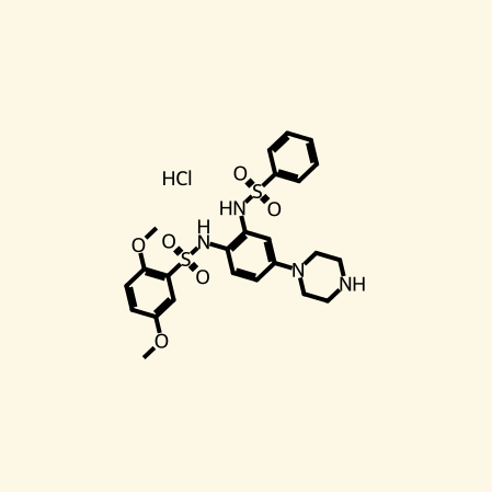 COc1ccc(OC)c(S(=O)(=O)Nc2ccc(N3CCNCC3)cc2NS(=O)(=O)c2ccccc2)c1.Cl